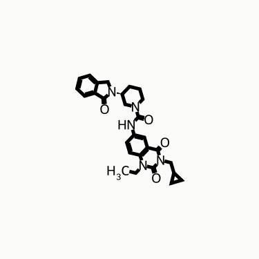 CCn1c(=O)n(CC2CC2)c(=O)c2cc(NC(=O)N3CCC[C@@H](N4Cc5ccccc5C4=O)C3)ccc21